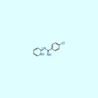 N=C(/N=c1/cccc[nH]1)c1ccc(Cl)cc1